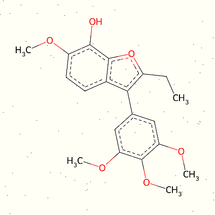 CCc1oc2c(O)c(OC)ccc2c1-c1cc(OC)c(OC)c(OC)c1